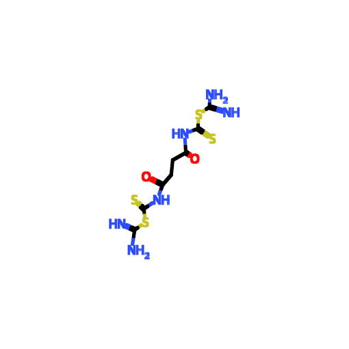 N=C(N)SC(=S)NC(=O)CCC(=O)NC(=S)SC(=N)N